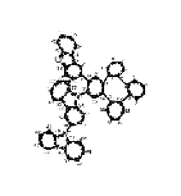 c1ccc2c(c1)-c1ccccc1-c1cc(-c3ccc4oc5ccccc5c4c3)c(-n3c4ccccc4c4cc(-n5c6ccccc6c6ccccc65)ccc43)cc1-c1ccccc1-2